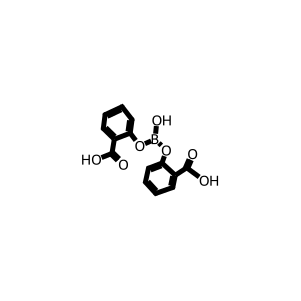 O=C(O)c1ccccc1OB(O)Oc1ccccc1C(=O)O